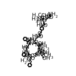 CC(C)[C@H](N)C(=O)N[C@@H](CCCNC(N)=O)C(=O)Nc1ccc(COC(=O)NCCCC[C@@H]2NC(=O)[C@@H](Cc3c[nH]c4ccccc34)NC(=O)[C@H](Cc3ccccc3)NC(=O)[C@@H](NC(=O)[C@H](N)Cc3ccccc3)CSSC[C@@H](C(=O)N[C@H](CO)[C@@H](C)O)NC(=O)C([C@@H](C)O)NC2=O)cc1